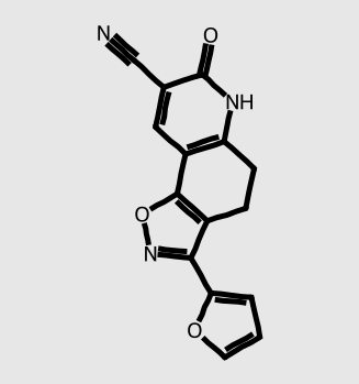 N#Cc1cc2c([nH]c1=O)CCc1c(-c3ccco3)noc1-2